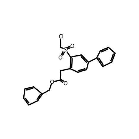 O=C(Cc1ccc(-c2ccccc2)cc1S(=O)(=O)CCl)OCc1ccccc1